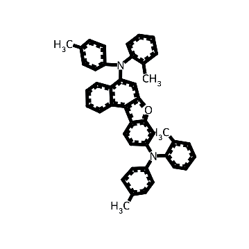 Cc1ccc(N(c2ccc3c(c2)oc2cc(N(c4ccc(C)cc4)c4ccccc4C)c4ccccc4c23)c2ccccc2C)cc1